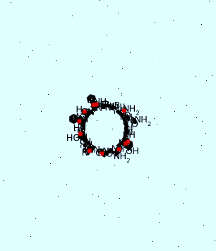 CCCC[C@H]1C(=O)N(C)[C@@H](CCCC)C(=O)N[C@@H](CCN)C(=O)N[C@H](C(=O)NCC(N)=O)CSCC(=O)N[C@@H](Cc2ccc(O)cc2)C(=O)N(C)[C@@H](C)C(=O)N[C@@H](CC(N)=O)C(=O)N2CCC[C@H]2C(=O)N[C@@H](Cc2cnc[nH]2)C(=O)N[C@@H](CC(C)C)C(=O)N2C[C@H](O)C[C@H]2C(=O)N[C@@H](Cc2c[nH]c3ccccc23)C(=O)N[C@@H](CO)C(=O)N[C@@H](Cc2c[nH]c3ccccc23)C(=O)N1C